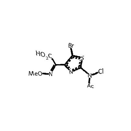 CON=C(C(=O)O)c1nc(N(Cl)C(C)=O)sc1Br